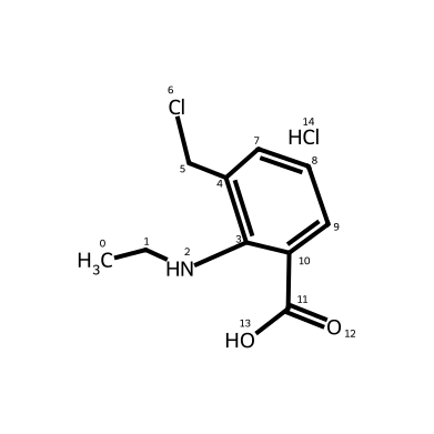 CCNc1c(CCl)cccc1C(=O)O.Cl